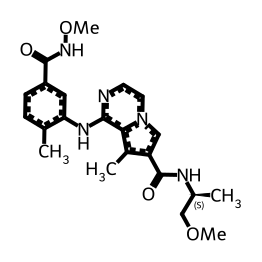 COC[C@H](C)NC(=O)c1cn2ccnc(Nc3cc(C(=O)NOC)ccc3C)c2c1C